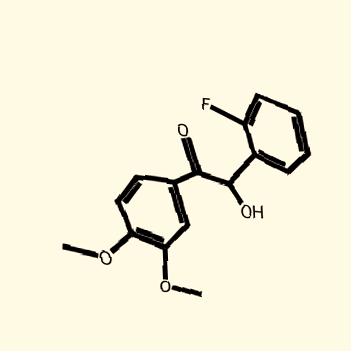 COc1ccc(C(=O)C(O)c2ccccc2F)cc1OC